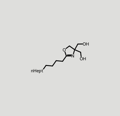 CCCCCCCCCCCC1=NC(CO)(CO)CO1